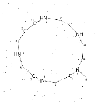 CN1CCNCCNCCCNCCNCC1